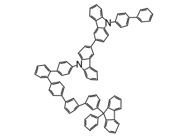 c1ccc(-c2ccc(-n3c4ccccc4c4cc(-c5ccc6c(c5)c5ccccc5n6-c5ccc(-c6ccccc6-c6ccc(-c7cccc(-c8cccc(C9(c%10ccccc%10)c%10ccccc%10-c%10ccccc%109)c8)c7)cc6)cc5)ccc43)cc2)cc1